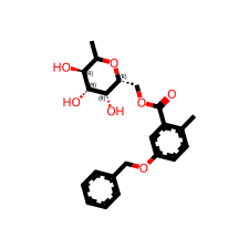 Cc1ccc(OCc2ccccc2)cc1C(=O)OC[C@H]1OC(C)[C@H](O)[C@@H](O)[C@H]1O